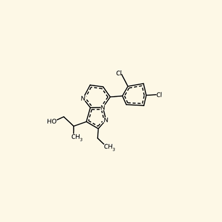 CCc1nn2c(-c3ccc(Cl)cc3Cl)ccnc2c1C(C)CO